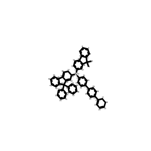 CC1(C)c2ccccc2-c2ccc(N(c3ccc(-c4ccc(C5=CC=CCC5)cc4)cc3)C3C=C4C(=CC3)c3ccccc3C4(c3ccccc3)c3ccccc3)cc21